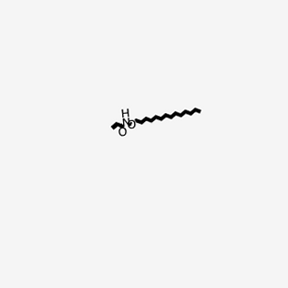 C=CC(=O)NOCCCCCCCCCCCCCC